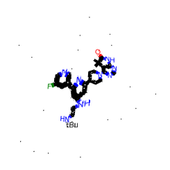 CC(C)(C)NCCNc1cc(-c2cncc(F)c2)nc(C2CCN(c3ncnc4c3C(C)(C)C(=O)N4)CC2)c1